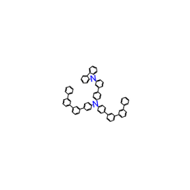 c1ccc(-c2cccc(-c3cccc(-c4ccc(N(c5ccc(-c6cccc(-c7cccc(-c8ccccc8)c7)c6)cc5)c5ccc(-c6cccc(-n7c8ccccc8c8ccccc87)c6)cc5)cc4)c3)c2)cc1